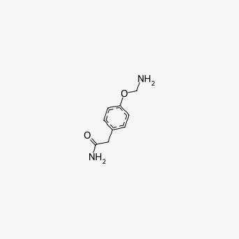 NCOc1ccc(CC(N)=O)cc1